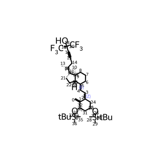 C=C1/C(=C\C=C2/CCC[C@]3(C)[C@@H]([C@H](C)CC#CC(O)(C(F)(F)F)C(F)(F)F)CC[C@@H]23)C[C@H](O[Si](C)(C)C(C)(C)C)C[C@H]1O[Si](C)(C)C(C)(C)C